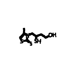 Cc1csc(=S)n1CC(S)CCO